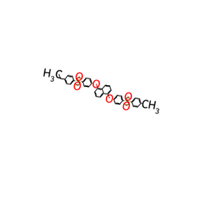 CCc1ccc(S(=O)(=O)c2ccc(Oc3cccc4c(Oc5ccc(S(=O)(=O)c6ccc(C)cc6)cc5)cccc34)cc2)cc1